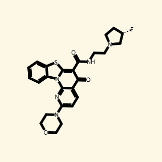 O=C(NCCN1CC[C@H](F)C1)c1c(=O)c2ccc(N3CCOCC3)nc2n2c1sc1ccccc12